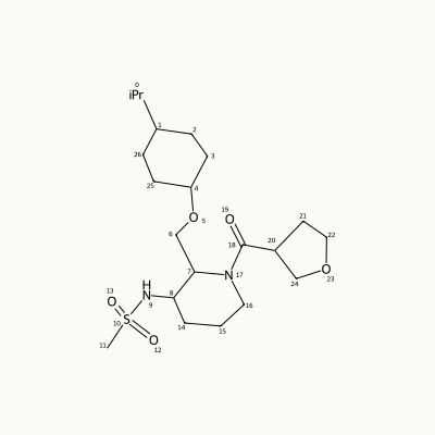 CC(C)C1CCC(OCC2C(NS(C)(=O)=O)CCCN2C(=O)C2CCOC2)CC1